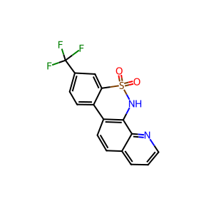 O=S1(=O)Nc2c(ccc3cccnc23)-c2ccc(C(F)(F)F)cc21